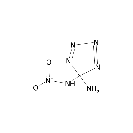 NC1(N[N+](=O)[O-])N=NN=N1